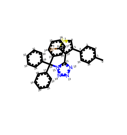 Cc1ccc(-c2csc(Br)c2-c2nnnn2C(c2ccccc2)(c2ccccc2)c2ccccc2)cc1